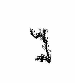 CC[C@@]1(O)C(=O)OCc2c1cc1n(c2=O)Cc2c-1nc1cc(F)c(C)c3c1c2[C@@H](NC(=O)COCNC(=O)CNC(=O)OCc1ccc(NC(=O)[C@H](CCCNC(N)=O)NC(=O)[C@@H](NC(=O)CC(C)(C)COCC(C)(C)CN)C(C)C)cc1)CC3